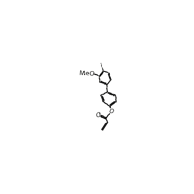 C=CC(=O)Oc1ccc(-c2ccc(I)c(OC)c2)cc1